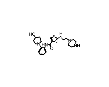 O=C(Nc1ccccc1N1CCC(O)CC1)c1csc(NCCN2CCNCC2)n1